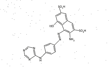 Nc1c(S(=O)(=O)O)cc2cc(S(=O)(=O)O)cc(O)c2c1N=Nc1ccc(Nc2ncncn2)cc1